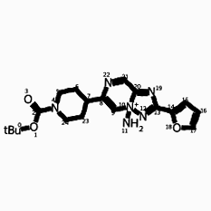 CC(C)(C)OC(=O)N1CCC(C2=C[N+]3(N)N=C(c4ccco4)N=C3C=N2)CC1